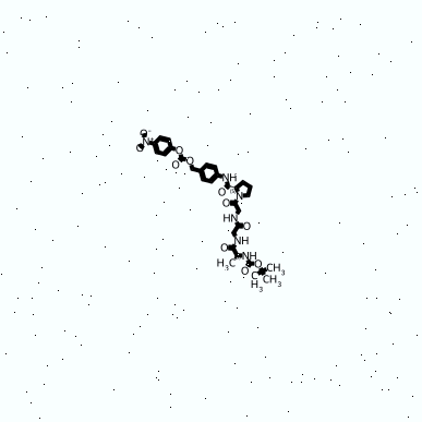 C[C@H](NC(=O)OC(C)(C)C)C(=O)NCC(=O)NCC(=O)N1CCC[C@H]1C(=O)Nc1ccc(COC(=O)Oc2ccc([N+](=O)[O-])cc2)cc1